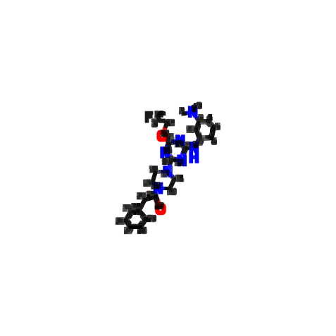 CN(C)c1cccc(Nc2nc(OCC(F)(F)F)nc(N3CCN(C(=O)Cc4ccccc4)CC3)n2)c1